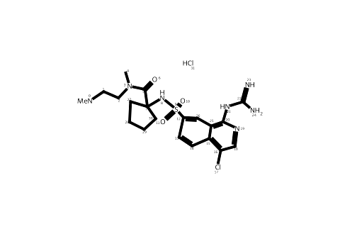 CNCCN(C)C(=O)C1(NS(=O)(=O)c2ccc3c(Cl)cnc(NC(=N)N)c3c2)CCCC1.Cl